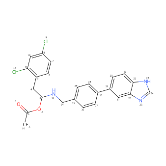 O=C(OC(Cc1ccc(Cl)cc1Cl)NCc1ccc(-c2ccc3[nH]cnc3c2)cc1)C(F)(F)F